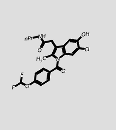 CCCNC(=O)Cc1c(C)n(C(=O)c2ccc(OC(F)F)cc2)c2cc(Cl)c(O)cc12